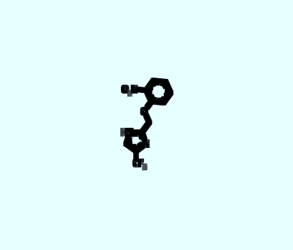 O=[N+]([O-])c1ccccc1OCc1nc(C(F)(F)F)c[nH]1